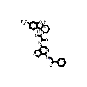 O=C(Nc1cnc(/N=C/C(=O)c2ccccc2)c2c1COC2)C(=O)N1CCC[C@@H]2Oc3cc(C(F)(F)F)ccc3[C@@H]21